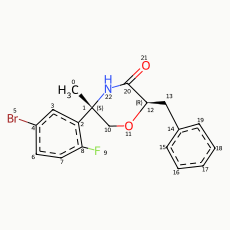 C[C@]1(c2cc(Br)ccc2F)CO[C@H](Cc2ccccc2)C(=O)N1